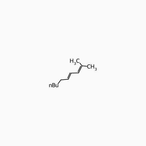 CCCCCC=CC=C(C)C